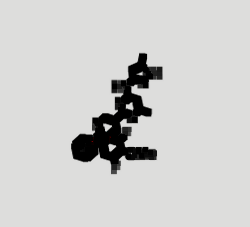 COc1c(F)cc(CN2C3CC2CN(c2ccc(-c4nc(C)cc(Nc5cc(C)[nH]n5)n4)cn2)C3)cc1F